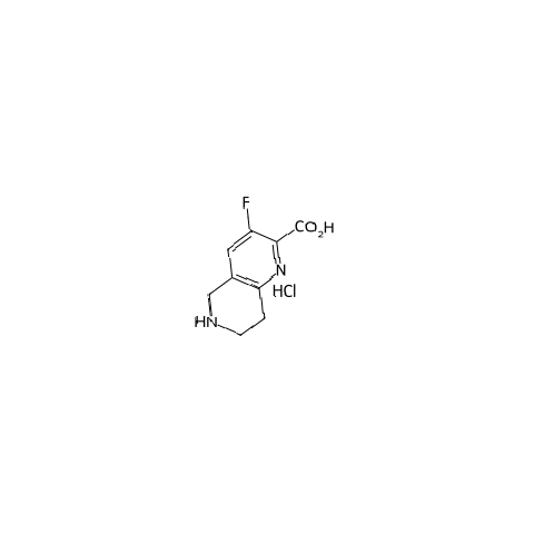 Cl.O=C(O)c1nc2c(cc1F)CNCC2